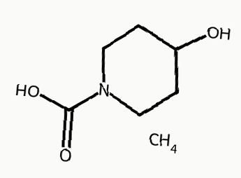 C.O=C(O)N1CCC(O)CC1